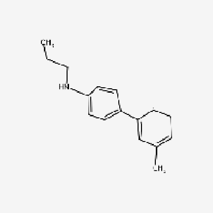 CCCNc1ccc(C2=CC(C)=CC[CH]2)cc1